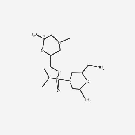 BC1CN(P(=O)(OCC2CN(C)C[C@H](B)O2)N(C)C)CC(CN)O1